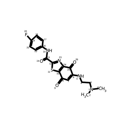 CN(C)CCNC1=CC(=O)c2sc(C(=O)Nc3ccc(F)cc3)nc2C1=O